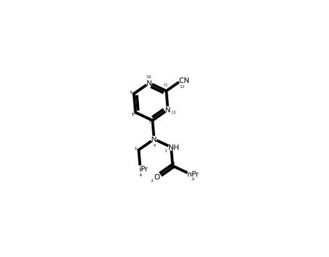 CCCC(=O)NN(CC(C)C)c1ccnc(C#N)n1